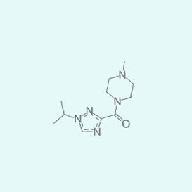 CC(C)n1cnc(C(=O)N2CCN(C)CC2)n1